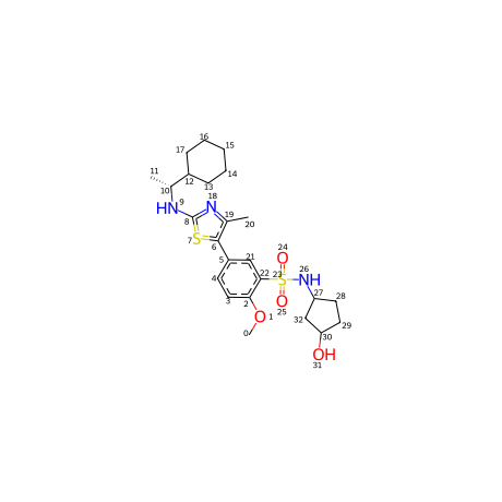 COc1ccc(-c2sc(N[C@H](C)C3CCCCC3)nc2C)cc1S(=O)(=O)NC1CCC(O)C1